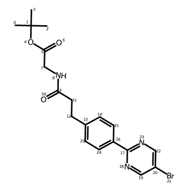 CC(C)(C)OC(=O)CNC(=O)CCc1ccc(-c2ncc(Br)cn2)cc1